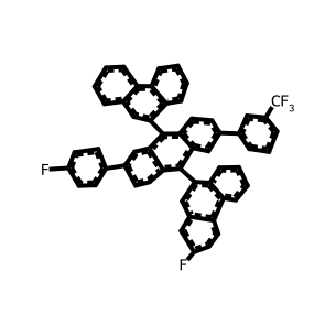 Fc1ccc(-c2ccc3c(-c4cc5cc(F)ccc5c5ccccc45)c4cc(-c5cccc(C(F)(F)F)c5)ccc4c(-c4cc5ccccc5c5ccccc45)c3c2)cc1